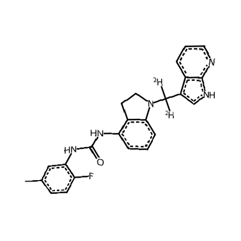 [2H]C([2H])(c1c[nH]c2ncccc12)N1CCc2c(NC(=O)Nc3cc(C)ccc3F)cccc21